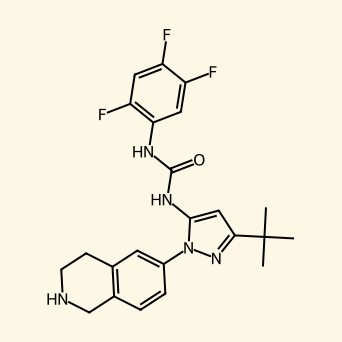 CC(C)(C)c1cc(NC(=O)Nc2cc(F)c(F)cc2F)n(-c2ccc3c(c2)CCNC3)n1